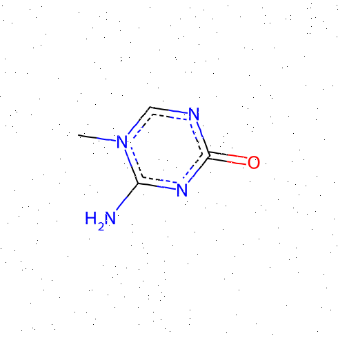 Cn1cnc(=O)nc1N